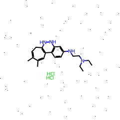 CCN(CC)CCNc1ccc2c(c1)NNC1=C2C=C(C)C(C)=CC1.Cl.Cl